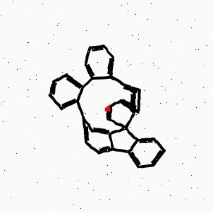 c1ccc2c(c1)-c1ccc3c(c1)C1(c4ccccc4-3)c3ccccc3-c3ccc(cc31)-c1ccccc1-2